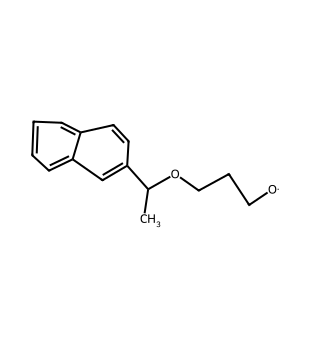 CC(OCCC[O])c1ccc2ccccc2c1